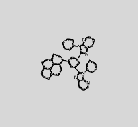 c1ccc(-n2c(-c3cc(-c4ccc5ccc6cccc7ccc4c5c67)cc(-c4nc5cccnc5n4-c4ccccc4)c3)nc3cccnc32)cc1